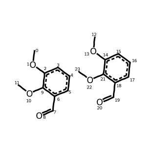 COc1cccc(C=O)c1OC.COc1cccc(C=O)c1OC